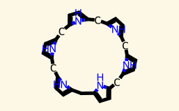 c1cc2[nH]c1Cc1ccc([nH]1)Cc1ccc([nH]1)Cc1ccc([nH]1)Cc1ccc([nH]1)Cc1ccc([nH]1)C2